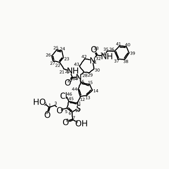 O=C(O)COc1c(C(=O)O)sc(-c2cccc(N(C(=O)NCc3ccccc3)C3CCN(C(=O)NCc4ccccc4)CC3)c2)c1Cl